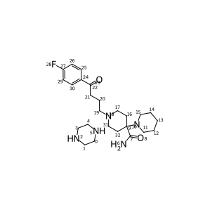 C1CNCCN1.NC(=O)C1(N2CCCCC2)CCN(CCCC(=O)c2ccc(F)cc2)CC1